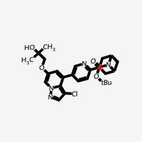 CC(C)(O)COc1cc(-c2ccc(N3CC4CC(C3)N4C(=O)OC(C)(C)C)nc2)c2c(Cl)cnn2c1